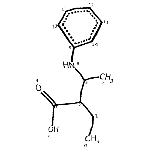 CCC(C(=O)O)C(C)Nc1ccccc1